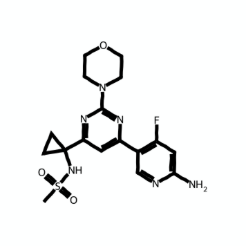 CS(=O)(=O)NC1(c2cc(-c3cnc(N)cc3F)nc(N3CCOCC3)n2)CC1